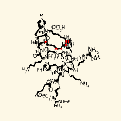 CCCCCCCCCCCCCC(=O)N[C@@H](CCCNC(=N)N)C(=O)N[C@@H](Cc1c[nH]cn1)C(=O)N[C@@H](CCCCN)C(=O)N[C@@H](CCCNC(=N)N)C(=O)N[C@@H](Cc1c[nH]cn1)C(=O)N[C@@H](CCCCN)C(=O)N[C@@H](CCCNC(=N)N)C(=O)N[C@@H](CCCCN)C(=O)NCC(=O)N[C@@H](Cc1c[nH]cn1)C(=O)N[C@@H](CCCCN)C(=O)O